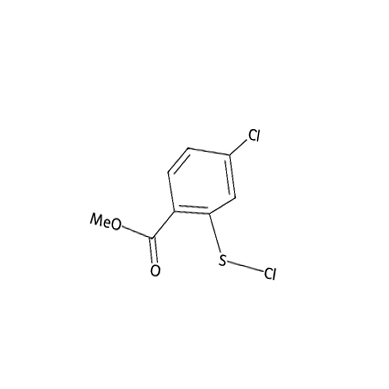 COC(=O)c1ccc(Cl)cc1SCl